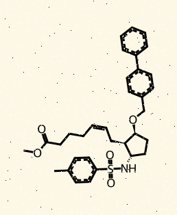 COC(=O)CCC/C=C\C[C@@H]1[C@@H](NS(=O)(=O)c2ccc(C)cc2)CC[C@@H]1OCc1ccc(-c2ccccc2)cc1